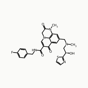 CN(Cc1cc2c3c(c1)c(=O)c(C(=O)NCc1ccc(F)cc1)cn3CC(=O)N2C)C[C@@H](O)c1nccs1